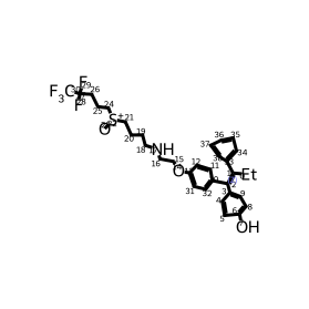 CC/C(=C(\c1ccc(O)cc1)c1ccc(OCCNCCCC[S+]([O-])CCCC(F)(F)C(F)(F)F)cc1)c1ccccc1